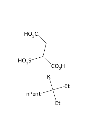 CCCCC[C]([K])(CC)CC.O=C(O)CC(C(=O)O)S(=O)(=O)O